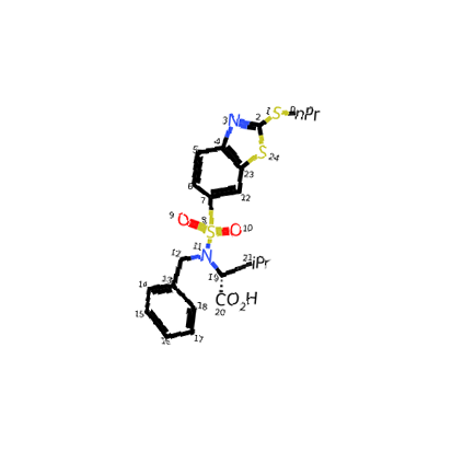 CCCSc1nc2ccc(S(=O)(=O)N(Cc3ccccc3)[C@@H](C(=O)O)C(C)C)cc2s1